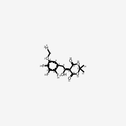 [2H]COc1cc(CC(O)=C2C(=O)OC(C)(C)OC2=O)c(F)c(F)c1F